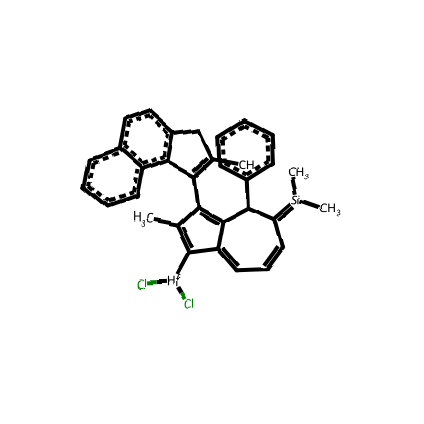 CC1=C(C2=C3C(=CC=CC(=[Si](C)C)C3c3ccccc3)[C]([Hf]([Cl])[Cl])=C2C)c2c(ccc3ccccc23)C1